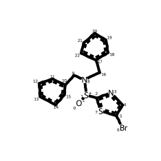 [O-][S+](c1ncc(Br)s1)N(Cc1ccccc1)Cc1ccccc1